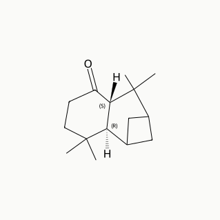 CC1(C)CCC(=O)[C@H]2[C@H]1C1CC(C1)C2(C)C